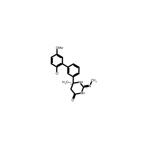 C/N=C1/NC(=O)C[C@@](C)(c2cccc(-c3cc(OC)ccc3Cl)c2)N1